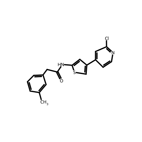 Cc1cccc(CC(=O)Nc2cc(-c3ccnc(Cl)c3)cs2)c1